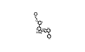 c1cc(-c2ccnc3[nH]c(-c4n[nH]c5ncc(-c6cncc(OCCN7CCCC7)c6)cc45)cc23)ccn1